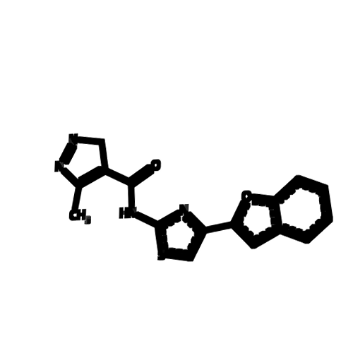 CC1=C(C(=O)Nc2nc(-c3cc4ccccc4o3)cs2)CN=N1